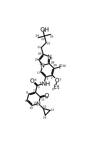 CCOc1c(NC(=O)c2cccn(C3CC3)c2=O)cn2cc(CCC(C)(C)O)nc2c1F